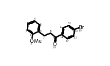 COc1ccccc1CCC(=O)c1ccc(Br)cc1